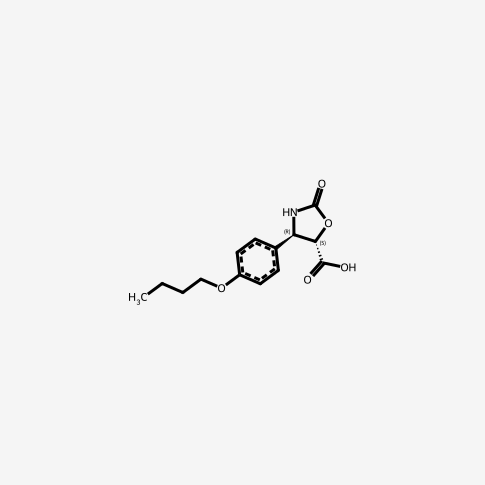 CCCCOc1ccc([C@H]2NC(=O)O[C@@H]2C(=O)O)cc1